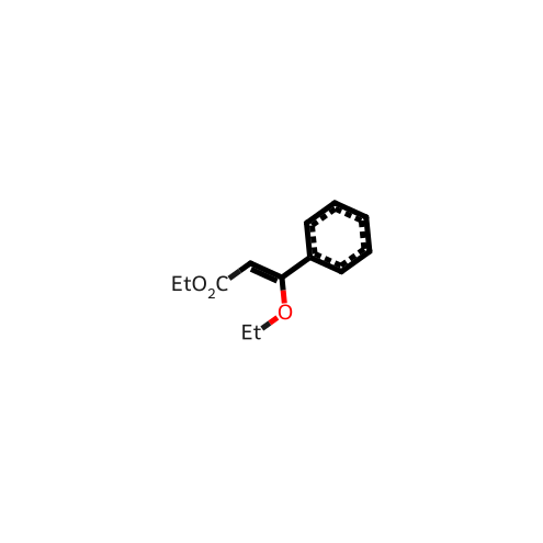 CCOC(=O)/C=C(\OCC)c1ccccc1